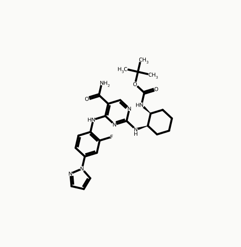 CC(C)(C)OC(=O)N[C@H]1CCCC[C@H]1Nc1ncc(C(N)=O)c(Nc2ccc(-n3cccn3)cc2F)n1